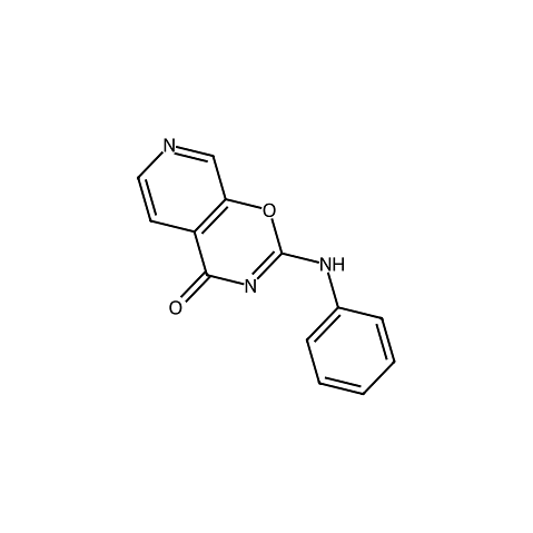 O=c1nc(Nc2ccccc2)oc2cnccc12